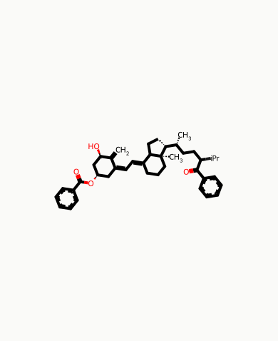 C=C1/C(=C\C=C2CCC[C@@]3(C)C2CC[C@@H]3[C@H](C)CCC(C(=O)c2ccccc2)C(C)C)C[C@H](OC(=O)c2ccccc2)C[C@H]1O